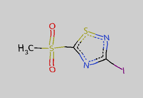 CS(=O)(=O)c1nc(I)ns1